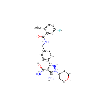 COc1ccc(F)cc1C(=O)NCc1ccc(-c2nn(C3CCOCC3)c(N)c2C(N)=O)cc1